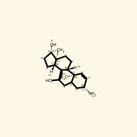 C[C@]12CC[C@H]3C(=C(O)CC4C[C@@H](N)C=C[C@@]43C)[C@@H]1CC[C@@H]2O